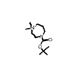 CC(C)(C)OC(=O)N1CCC[N+](C)(C)CC1